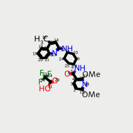 COc1ccc(C(=O)N[C@H]2CC[C@@H](Nc3cc(C)c4ccccc4n3)CC2)c(OC)n1.O=C(O)C(F)(F)F